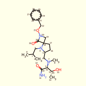 CC(C)CN1C(CN(C)[C@H](C(N)=O)[C@@H](C)O)CCC12CN(OCc1ccccc1)C2=O